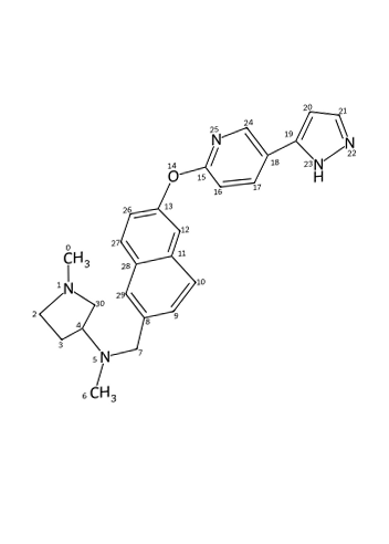 CN1CCC(N(C)Cc2ccc3cc(Oc4ccc(-c5ccn[nH]5)cn4)ccc3c2)C1